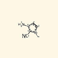 Cn1ccc(N)c1C#N